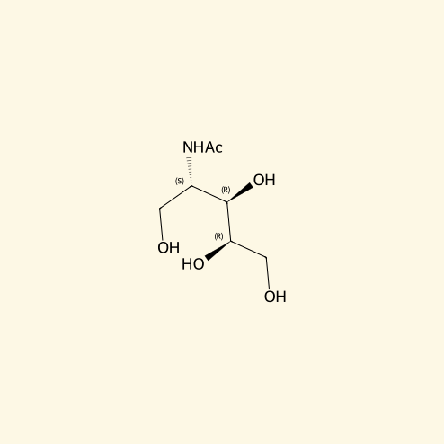 CC(=O)N[C@@H](CO)[C@@H](O)[C@H](O)CO